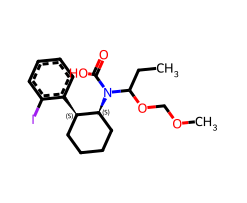 CCC(OCOC)N(C(=O)O)[C@H]1CCCC[C@H]1c1ccccc1I